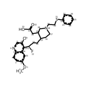 COc1ccc2ncc(Cl)c([C@H](F)CCC3CCN(CCSc4ccccc4)CC3CC(=O)O)c2c1